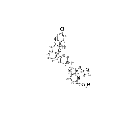 [2H][C@]1(c2ccc(Cl)cn2)C=Cc2cccc(C3CCN(Cc4nc5ccc(C(=O)O)nc5n4C[C@@H]4CCO4)CC3)c2O1